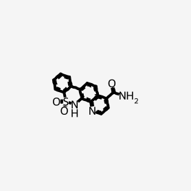 NC(=O)c1ccnc2c3c(ccc12)-c1ccccc1S(=O)(=O)N3